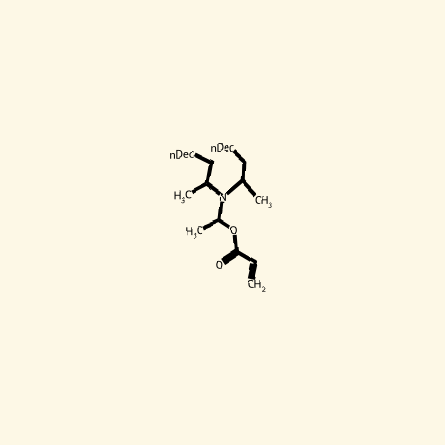 C=CC(=O)OC(C)N(C(C)CCCCCCCCCCC)C(C)CCCCCCCCCCC